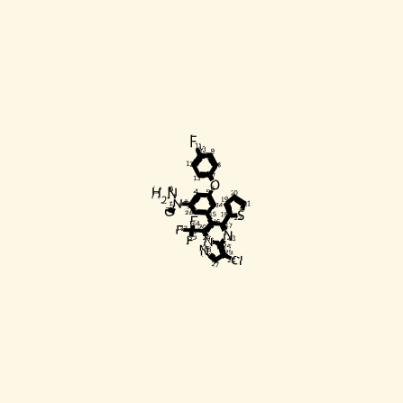 N[N+](=O)c1cc(Oc2ccc(F)cc2)cc(-c2c(-c3cccs3)nc3c(Cl)cnn3c2C(F)(F)F)c1